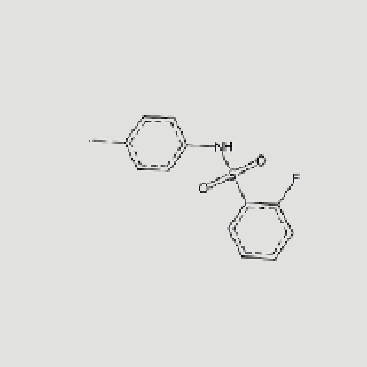 [CH2]c1ccc(NS(=O)(=O)c2ccccc2F)cc1